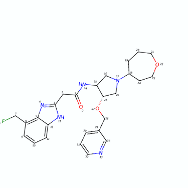 O=C(Cc1nc2c(CF)cccc2[nH]1)NC1CN(C2CCCOCC2)C[C@@H]1OCc1cccnc1